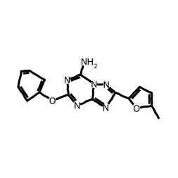 Cc1ccc(-c2nc3nc(Oc4ccccc4)nc(N)n3n2)o1